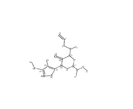 C=CCC(C)N1CN(C(C)CC)CN(c2snc(CC)c2C)C1=O